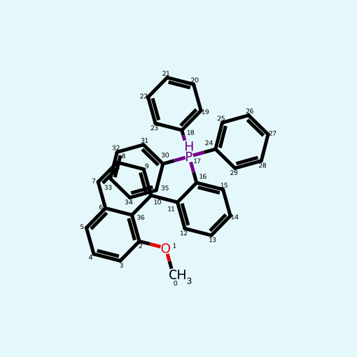 COc1cccc2cccc(-c3ccccc3[PH](c3ccccc3)(c3ccccc3)c3ccccc3)c12